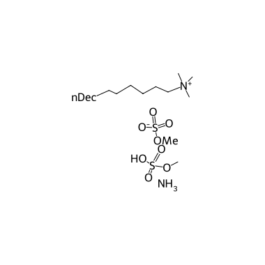 CCCCCCCCCCCCCCCC[N+](C)(C)C.COS(=O)(=O)O.COS(=O)(=O)[O-].N